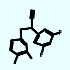 C#CC(Cc1ccc(C)c(C)c1)c1cc(F)cc(F)c1